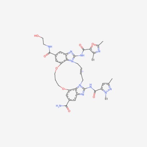 CCc1nc(C)oc1C(=O)Nc1nc2cc(C(=O)NCCO)cc3c2n1C/C=C/Cn1c(NC(=O)c2cc(C)nn2CC)nc2cc(C(N)=O)cc(c21)OCCCO3